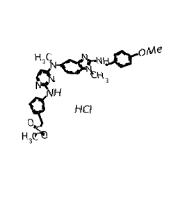 COc1ccc(CNc2nc3cc(N(C)c4ccnc(Nc5cccc(CS(C)(=O)=O)c5)n4)ccc3n2C)cc1.Cl